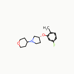 Cc1ccc(F)cc1O[C@@H]1CCN(C2CCOCC2)C1